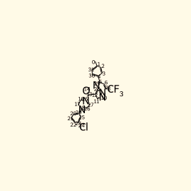 Cc1ccc(-c2cc(C(F)(F)F)n3ncc(C(=O)N4CCN(c5cccc(Cl)c5)CC4)c3n2)cc1